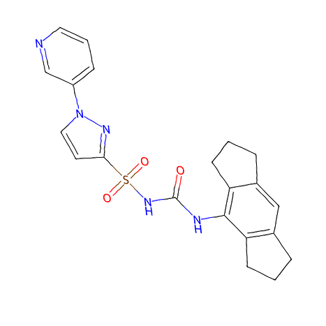 O=C(Nc1c2c(cc3c1CCC3)CCC2)NS(=O)(=O)c1ccn(-c2cccnc2)n1